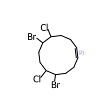 ClC1CCC(Br)C(Cl)CC/C=C\CCC1Br